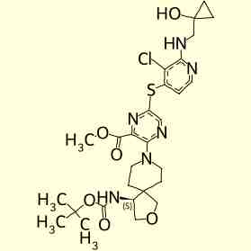 COC(=O)c1nc(Sc2ccnc(NCC3(O)CC3)c2Cl)cnc1N1CCC2(CC1)COC[C@H]2NC(=O)OC(C)(C)C